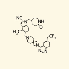 Cc1c(CN2CCC3(CC2)CN(c2ncnc4ccc(CC(F)(F)F)cc24)C3)ccc2c1cc(C#N)n2CC1CCNC(=O)CC1